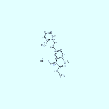 COC(=O)/C(=C/CO)c1cc(OCc2ccccc2C)ccc1C